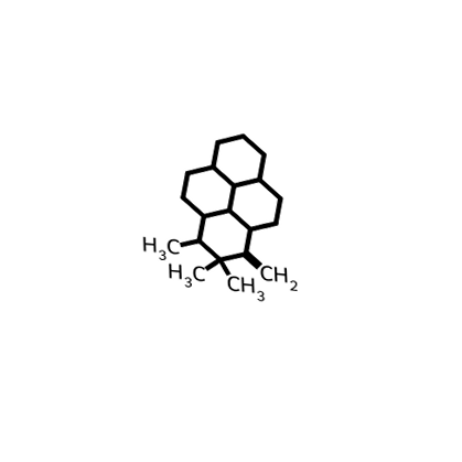 C=C1C2CCC3CCCC4CCC(C2C34)C(C)C1(C)C